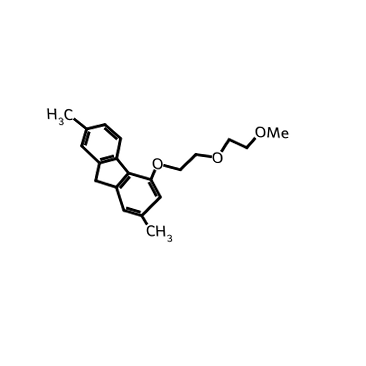 COCCOCCOc1cc(C)cc2c1-c1ccc(C)cc1C2